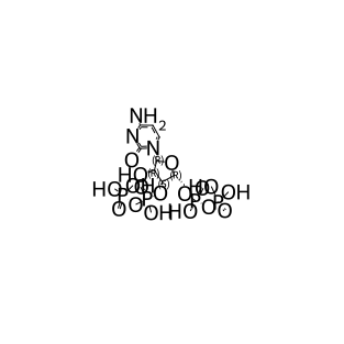 Nc1ccn([C@@H]2O[C@H](COP(=O)(O)OP(=O)(O)O)[C@@H](OP(=O)(O)OP(=O)(O)O)[C@H]2O)c(=O)n1